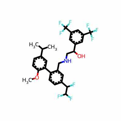 COc1ccc(C(C)C)cc1-c1ccc(C(F)C(F)F)cc1CNCC(O)c1cc(C(F)(F)F)cc(C(F)(F)F)c1